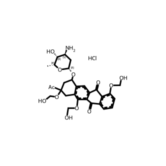 CC(=O)C1(OCO)Cc2c(cc3c(c2OCO)C(=O)c2cccc(OCO)c2C3=O)C(O[C@H]2C[C@H](N)[C@@H](O)[C@@H](C)O2)C1.Cl